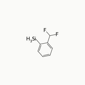 FC(F)c1ccccc1[SiH3]